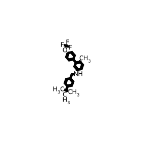 Cc1ccc(NCc2ccc(C(C)(C)C)cc2)cc1-c1ccc(OC(F)(F)F)cc1